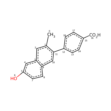 Cc1cc2cc(O)ccc2cc1-c1ccc(C(=O)O)cc1